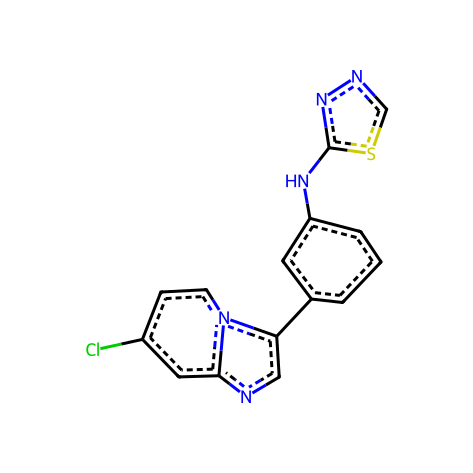 Clc1ccn2c(-c3cccc(Nc4nncs4)c3)cnc2c1